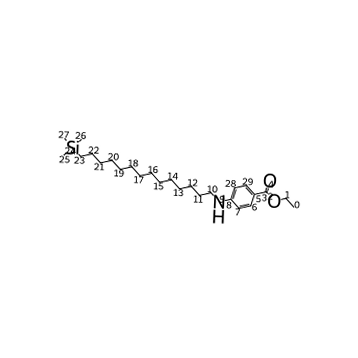 CCOC(=O)c1ccc(NCCCCCCCCCCCCCC[Si](C)(C)C)cc1